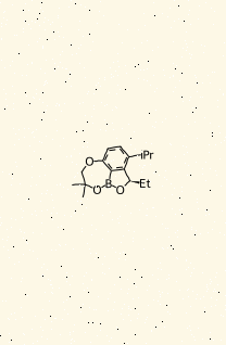 CC[C@H]1OB2OC(C)(C)COc3ccc(C(C)C)c1c32